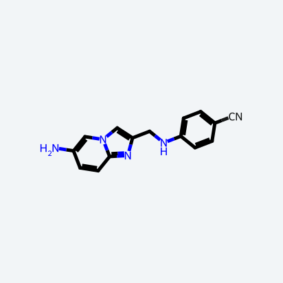 N#Cc1ccc(NCc2cn3cc(N)ccc3n2)cc1